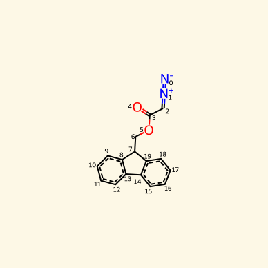 [N-]=[N+]=CC(=O)OCC1c2ccccc2-c2ccccc21